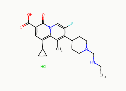 CCNCN1CCC(c2c(F)cn3c(=O)c(C(=O)O)cc(C4CC4)c3c2C)CC1.Cl